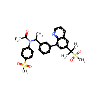 CC(c1cccc(-c2cc(C(C)(C)S(C)(=O)=O)cc3cccnc23)c1)N(C(=O)C(F)(F)F)c1ccc(S(C)(=O)=O)cc1